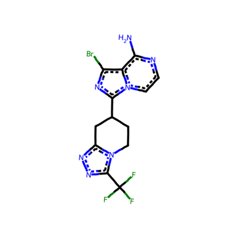 Nc1nccn2c(C3CCn4c(nnc4C(F)(F)F)C3)nc(Br)c12